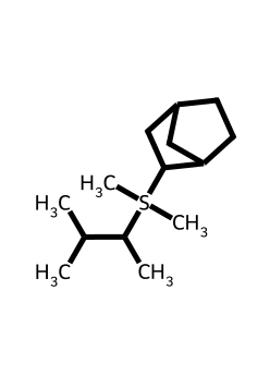 CC(C)C(C)S(C)(C)C1CC2CCC1C2